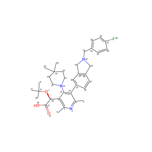 Cc1nc(C)c([C@H](OC(C)(C)C)C(=O)O)c(N2CCC(C)(C)CC2)c1-c1ccc2c(c1)CN(Cc1ccc(F)cc1)C2